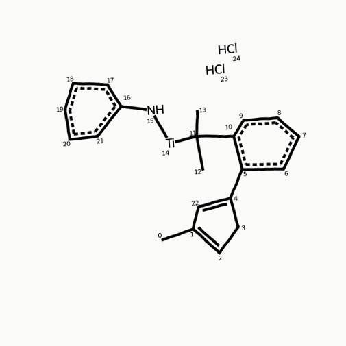 CC1=CCC(c2ccccc2[C](C)(C)[Ti][NH]c2ccccc2)=C1.Cl.Cl